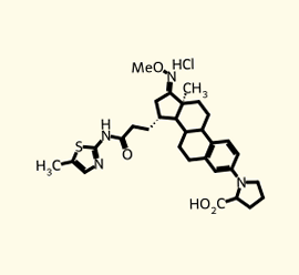 CO/N=C1\C[C@@H](CCC(=O)Nc2ncc(C)s2)C2C3CCc4cc(N5CCCC5C(=O)O)ccc4C3CC[C@]12C.Cl